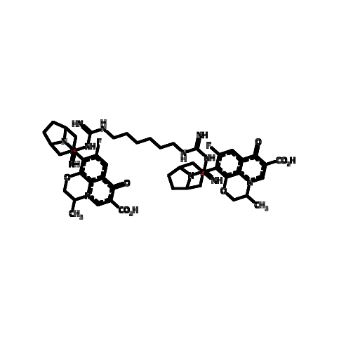 CC1COc2c(N3CC4CCC(C3)N4C(=N)NC(=N)NCCCCCCNC(=N)NC(=N)N3C4CCC3CN(c3c(F)cc5c(=O)c(C(=O)O)cn6c5c3OCC6C)C4)c(F)cc3c(=O)c(C(=O)O)cn1c23